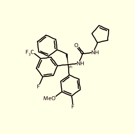 COc1cc([C@@](Cc2ccccc2)(NC(=O)NC2CC=CC2)c2cc(F)cc(C(F)(F)F)c2)ccc1F